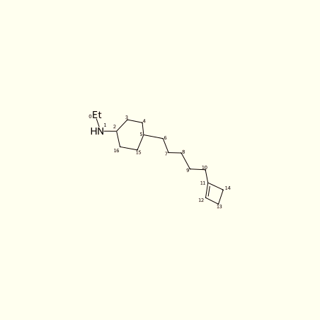 CCNC1CCC(CCCCCC2=CCC2)CC1